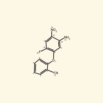 N#Cc1ccccc1Oc1cc(N)c([N+](=O)[O-])cc1F